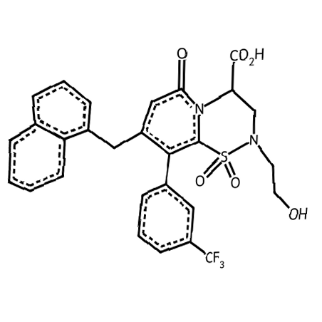 O=C(O)C1CN(CCO)S(=O)(=O)c2c(-c3cccc(C(F)(F)F)c3)c(Cc3cccc4ccccc34)cc(=O)n21